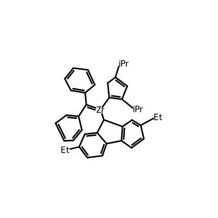 CCc1ccc2c(c1)[CH]([Zr]([C]1=C(C(C)C)C=C(C(C)C)C1)=[C](c1ccccc1)c1ccccc1)c1cc(CC)ccc1-2